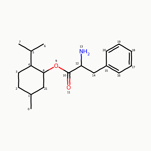 CC1CCC(C(C)C)C(OC(=O)C(N)Cc2ccccc2)C1